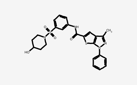 Cc1nn(-c2ccccc2)c2sc(C(=O)Nc3cccc(S(=O)(=O)N4CCC(O)CC4)c3)cc12